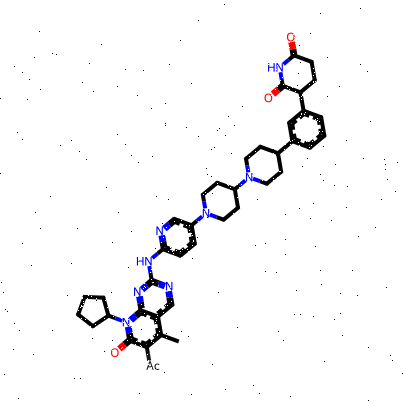 CC(=O)c1c(C)c2cnc(Nc3ccc(N4CCC(N5CCC(c6cccc(C7CCC(=O)NC7=O)c6)CC5)CC4)cn3)nc2n(C2CCCC2)c1=O